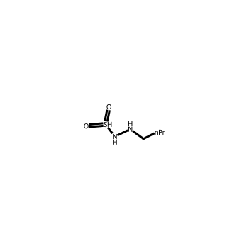 CCCCNN[SH](=O)=O